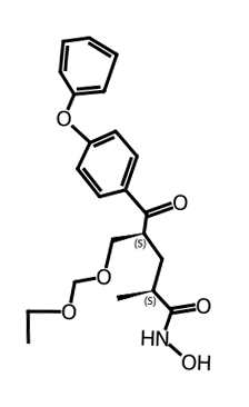 CCOCOC[C@H](C[C@H](C)C(=O)NO)C(=O)c1ccc(Oc2ccccc2)cc1